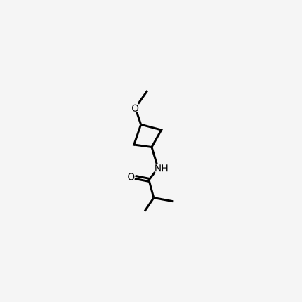 COC1CC(NC(=O)C(C)C)C1